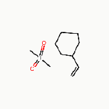 C=CC1CCCCC1.[CH3][Ti]([CH3])(=[O])=[O]